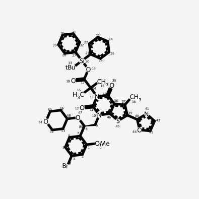 COc1cc(Br)ccc1[C@H](Cn1c(=O)n(C(C)(C)C(=O)O[Si](c2ccccc2)(c2ccccc2)C(C)(C)C)c(=O)c2c(C)c(-c3ncco3)sc21)OC1CCOCC1